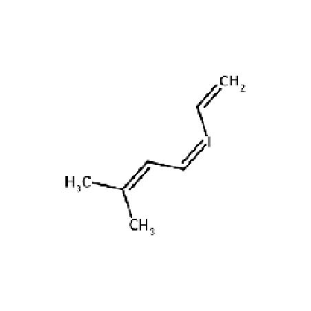 C=C/I=C\C=C(C)C